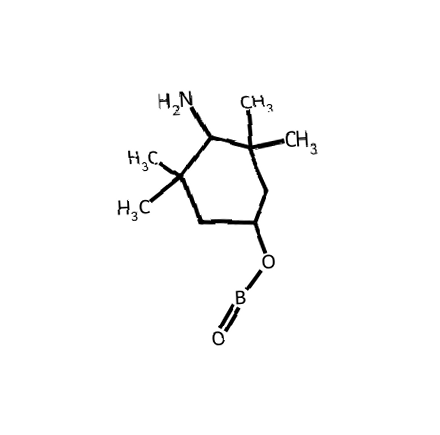 CC1(C)CC(OB=O)CC(C)(C)C1N